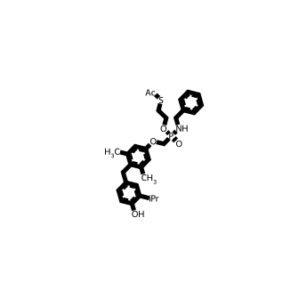 CC(=O)SCCOP(=O)(COc1cc(C)c(Cc2ccc(O)c(C(C)C)c2)c(C)c1)NCc1ccccc1